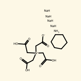 C1CCCCC1.N.O=C([O-])C[N+](CC(=O)O)(CC(=O)O)CC(=O)O.[NaH].[NaH].[NaH].[NaH]